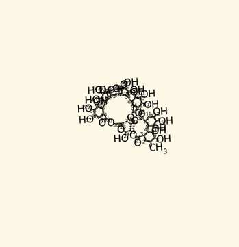 Cc1cc2c(c(O)c1O)-c1c(cc(O)c(O)c1O)C(=O)OC1C(OC2=O)C(O)OC2COC(=O)c3cc(O)c(O)c(O)c3-c3c(O)c(O)c4oc(=O)c5c(c(O)c(O)c6oc(=O)c3c4c65)-c3c(cc(O)c(O)c3O)C(=O)OC21